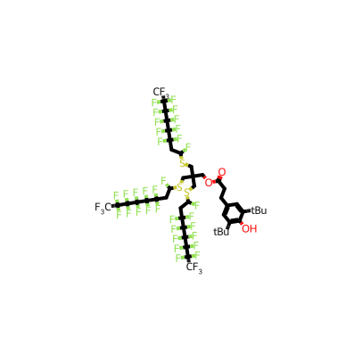 CC(C)(C)c1cc(CCC(=O)OCC(CSC(F)CC(F)(F)C(F)(F)C(F)(F)C(F)(F)C(F)(F)C(F)(F)F)(CSC(F)CC(F)(F)C(F)(F)C(F)(F)C(F)(F)C(F)(F)C(F)(F)F)CSC(F)CC(F)(F)C(F)(F)C(F)(F)C(F)(F)C(F)(F)C(F)(F)F)cc(C(C)(C)C)c1O